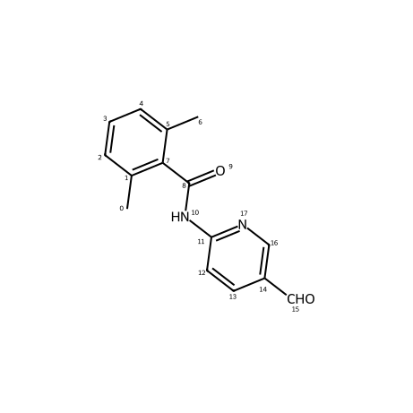 Cc1cccc(C)c1C(=O)Nc1ccc(C=O)cn1